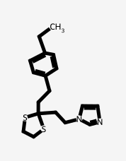 CCc1ccc(CCC2(CCn3ccnc3)SCCS2)cc1